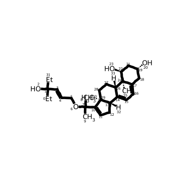 CCC(O)(/C=C/COC(C)(C)C1=CC[C@H]2C3=CC=C4C[C@@H](O)C[C@H](O)[C@]4(C)[C@H]3CC[C@]12C)CC